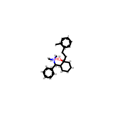 Cc1ccccc1CCC1(O)CCCCC1C(c1ccccc1)N(C)C